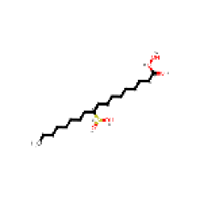 CCCCCCCCC(CCCCCCCCC(=O)OO)S(=O)O